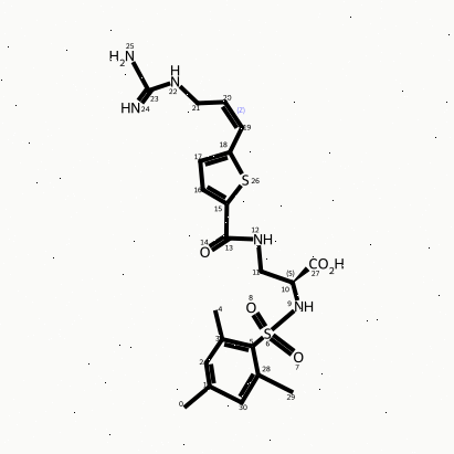 Cc1cc(C)c(S(=O)(=O)N[C@@H](CNC(=O)c2ccc(/C=C\CNC(=N)N)s2)C(=O)O)c(C)c1